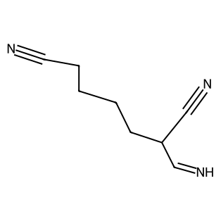 N#CCCCCC(C#N)C=N